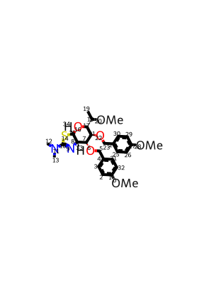 COc1ccc(CO[C@@H]2[C@H]3N=C(N(C)C)S[C@H]3O[C@H](C(C)OC)[C@H]2OCc2ccc(OC)cc2)cc1